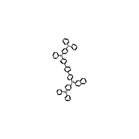 c1ccc(N(c2ccccc2)c2ccc(N(c3ccccc3)c3ccc(-c4ccc(-c5ccc(N(c6ccc(N(c7ccccc7)c7ccccc7)cc6)c6ccc7ccccc7c6)cc5)cc4)cc3)cc2)cc1